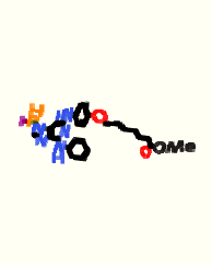 COC(=O)CCCCCCOc1ccc(Nc2cc3c(ncn3PI)c(NC3CCCCC3)n2)cc1